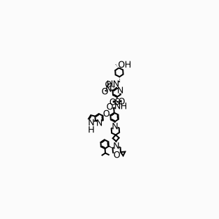 CC(C)c1ccccc1[C@@H]1COC2(CC2)CN1C1CC2(CCN(c3ccc(C(=O)NS(=O)(=O)c4cnc(NC[C@H]5CC[C@](C)(O)CC5)c([N+](=O)[O-])c4)c(Oc4cnc5[nH]ccc5c4)c3)CC2)C1